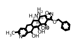 Cc1cc2c(cn1)C(O)C1=C(O)[C@]3(O)C(=O)c4c(OCc5ccccc5)noc4[C@@H](N)[C@]3(N)CC1C2